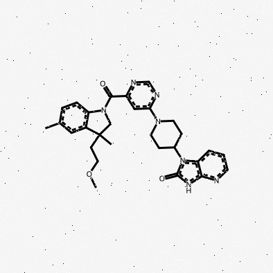 COCCC1(C)CN(C(=O)c2cc(N3CCC(n4c(=O)[nH]c5ncccc54)CC3)ncn2)c2ccc(C)cc21